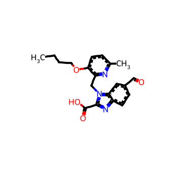 CCCCOc1ccc(C)nc1Cn1c(C(=O)O)nc2ccc(C=O)cc21